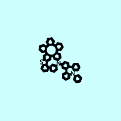 c1ccc(N(c2ccc3c(c2)-c2ccccc2N(c2ccccc2)c2ccccc2-3)c2ccc3c4ccccc4c4ccccc4c4ccccc4c4cc5sc6ccccc6c5cc4c3c2)cc1